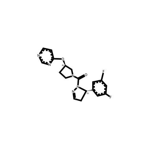 O=C(N1CC[C@@H](Oc2ccn[c]n2)C1)N1N=CC[C@H]1c1cc(F)cc(F)c1